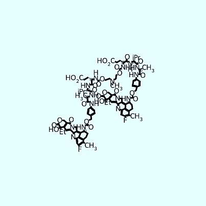 CC[C@@]1(O)C(=O)OCc2c1cc1n(c2=O)Cc2c-1nc1cc(F)c(C)c3c1c2[C@@H](NC(=O)OCc1ccc(NC(=O)[C@H](C)NC(=O)[C@@H](NC(=O)[C@H](CCC(=O)O)NC(=O)OCCN(C)CCOC(=O)N[C@@H](CCC(=O)O)C(=O)N[C@H](C(=O)N[C@@H](C)C(=O)Nc2ccc(COC(=O)N[C@H]4CCc5c(C)c(F)cc6nc7c(c4c56)Cn4c-7cc5c(c4=O)COC(=O)[C@]5(O)CC)cc2)C(C)C)C(C)C)cc1)CC3